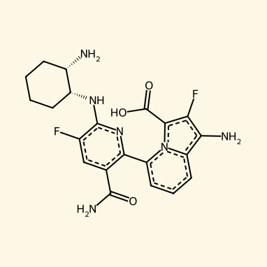 NC(=O)c1cc(F)c(N[C@@H]2CCCC[C@@H]2N)nc1-c1cccc2c(N)c(F)c(C(=O)O)n12